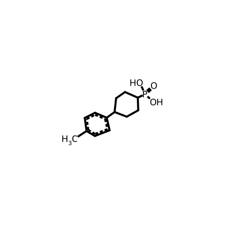 Cc1ccc(C2CCC(P(=O)(O)O)CC2)cc1